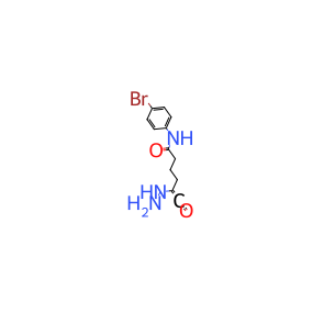 NNC(=C=O)CCCC(=O)Nc1ccc(Br)cc1